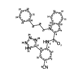 N#Cc1ccc(NC(=O)c2cc3ccccc3n2CCCc2ccccc2)c(-c2nnn[nH]2)c1